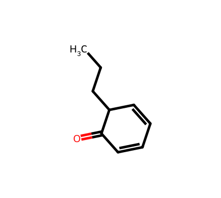 CCCC1C=CC=CC1=O